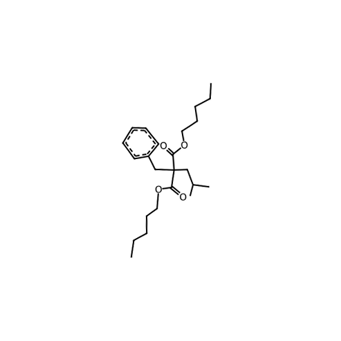 CCCCCOC(=O)C(Cc1ccccc1)(CC(C)C)C(=O)OCCCCC